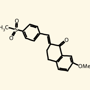 COc1ccc2c(c1)C(=O)C(=Cc1ccc(S(C)(=O)=O)cc1)CC2